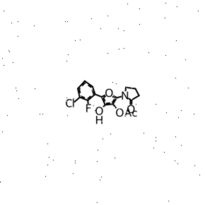 CC(=O)Oc1c(N2CCCC2=O)oc(-c2cccc(Cl)c2F)c1O